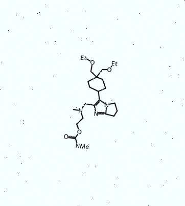 CCOCC1(COCC)CCC(c2c(CN(C)CCOC(=O)NC)nc3n2CCC3)CC1